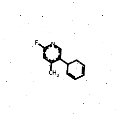 Cc1cc(F)ncc1C1C=CC=CC1